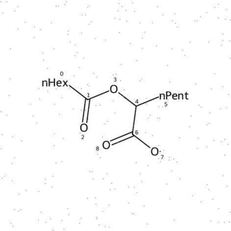 CCCCCCC(=O)OC(CCCCC)C([O])=O